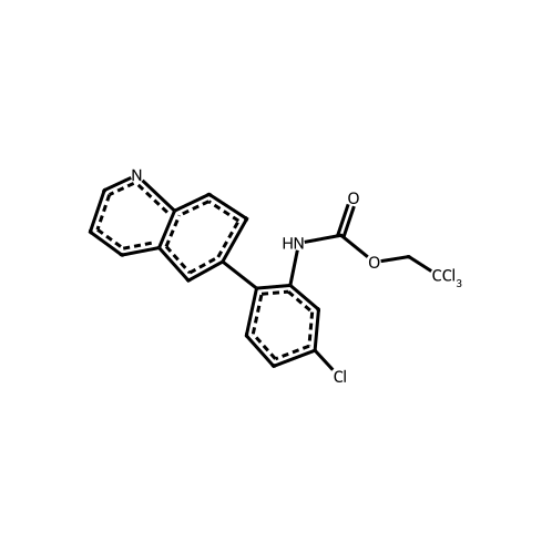 O=C(Nc1cc(Cl)ccc1-c1ccc2ncccc2c1)OCC(Cl)(Cl)Cl